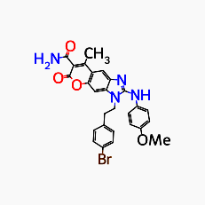 COc1ccc(Nc2nc3cc4c(C)c(C(N)=O)c(=O)oc4cc3n2CCc2ccc(Br)cc2)cc1